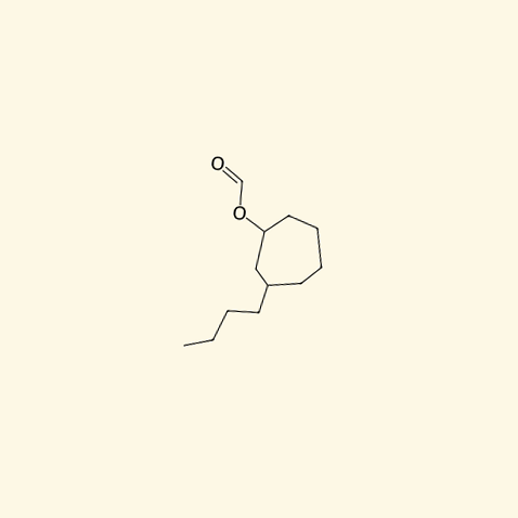 CCCCC1CCCCC(OC=O)C1